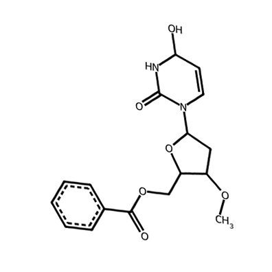 COC1CC(N2C=CC(O)NC2=O)OC1COC(=O)c1ccccc1